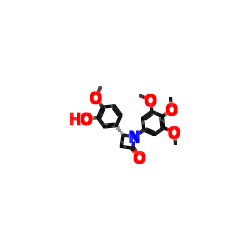 COc1ccc([C@H]2CC(=O)N2c2cc(OC)c(OC)c(OC)c2)cc1O